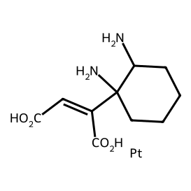 NC1CCCCC1(N)/C(=C/C(=O)O)C(=O)O.[Pt]